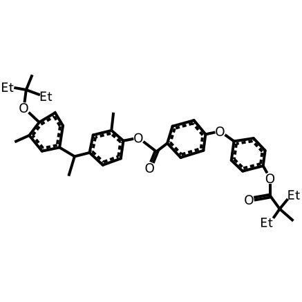 CCC(C)(CC)Oc1ccc(C(C)c2ccc(OC(=O)c3ccc(Oc4ccc(OC(=O)C(C)(CC)CC)cc4)cc3)c(C)c2)cc1C